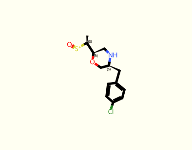 C[C@H]([S+]=O)[C@H]1CN[C@@H](Cc2ccc(Cl)cc2)CO1